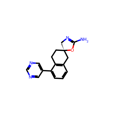 NC1=NC[C@]2(CCc3c(cccc3-c3cncnc3)C2)O1